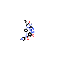 C=CC[C@H]1CN(C2CCCC2)c2nc(Nc3ccc(C(=O)N[C@@H]4CCN(C)C4)cc3OC)ncc2N(C)C1=O